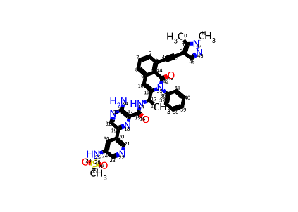 Cc1c(C#Cc2cccc3cc(C(C)NC(=O)c4nc(-c5cncc(NS(C)(=O)=O)c5)cnc4N)n(-c4ccccc4)c(=O)c23)cnn1C